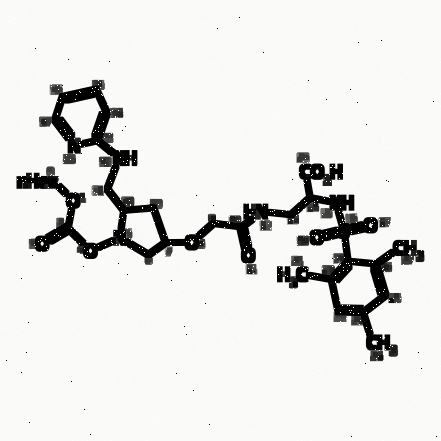 CCCCCCOC(=O)ON1CC(OCC(=O)NCC(NS(=O)(=O)c2c(C)cc(C)cc2C)C(=O)O)CC1CNc1ccccn1